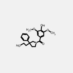 COc1cc(C(=O)N2CCC(CCO)(c3ccccc3)C2)cc(OC)c1O